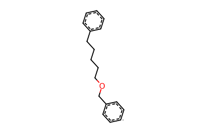 [c]1ccc(COCCCCCc2ccccc2)cc1